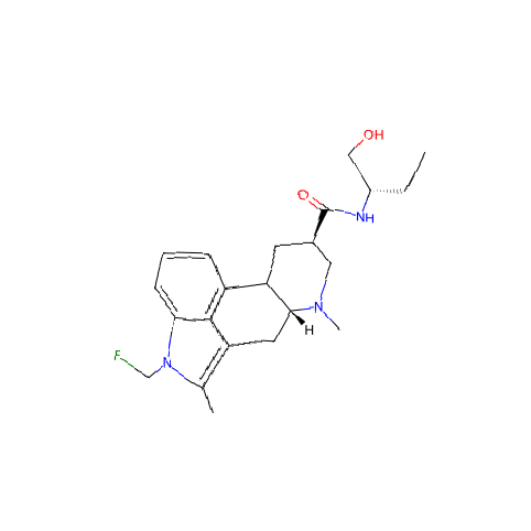 CC[C@@H](CO)NC(=O)[C@@H]1CC2c3cccc4c3c(c(C)n4CF)C[C@H]2N(C)C1